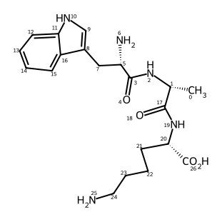 C[C@@H](NC(=O)[C@@H](N)Cc1c[nH]c2ccccc12)C(=O)N[C@@H](CCCCN)C(=O)O